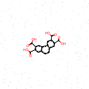 O=C(O)c1cc2ccc3cc(C(=O)O)c(C(=O)O)cc3c2cc1C(=O)O